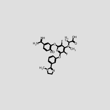 CC(C(=O)O)N(C)c1c(F)c(Oc2cccc(C3=NCCN3C)c2)nc(Oc2cc(C(=N)N)ccc2O)c1F